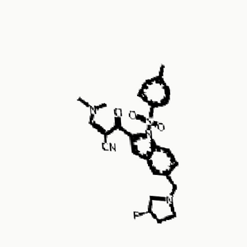 Cc1ccc(S(=O)(=O)n2c(C(=O)/C(C#N)=C\N(C)C)cc3cc(CN4CC[C@@H](F)C4)ccc32)cc1